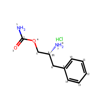 Cl.NC(=O)OC[C@H](N)Cc1ccccc1